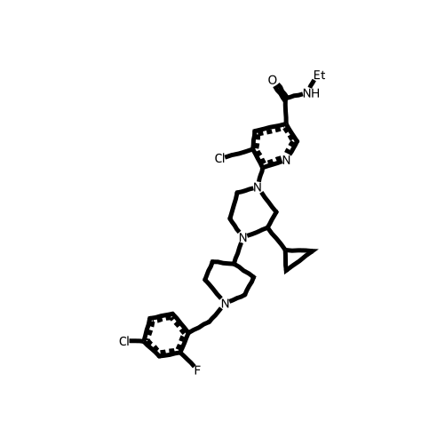 CCNC(=O)c1cnc(N2CCN(C3CCN(Cc4ccc(Cl)cc4F)CC3)C(C3CC3)C2)c(Cl)c1